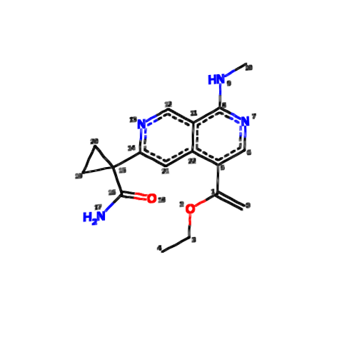 C=C(OCC)c1cnc(NC)c2cnc(C3(C(N)=O)CC3)cc12